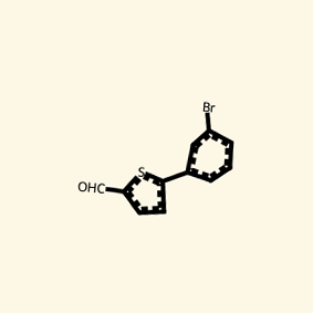 O=Cc1ccc(-c2cccc(Br)c2)s1